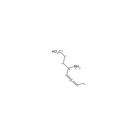 CC=C=CC(N)CCC(=O)O